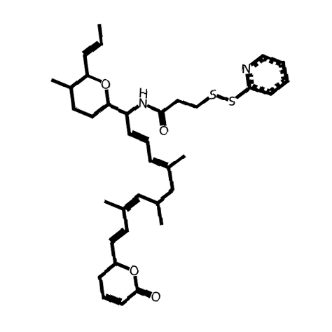 C/C=C/C1OC(C(/C=C/C=C(\C)CC(C)/C=C(C)\C=C\C2CC=CC(=O)O2)NC(=O)CCSSc2ccccn2)CCC1C